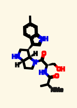 CN[C@@H](C)C(=O)N[C@@H](CO)C(=O)N1CC[C@H]2NC[C@H](c3c[nH]c4cc(C)ccc34)[C@H]21